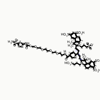 CC1(C)C(/C=C/C(=C/C=C2/N(CCCS(=O)(=O)O)c3ccc4c(S(=O)(=O)O)cc(S(=O)(=O)O)cc4c3C2(C)C)c2ccc(C(=O)NCCOCCOCCOCCOCCC(=O)Nc3nnc(S(N)(=O)=O)s3)cn2)=[N+](CCCS(=O)(=O)[O-])c2ccc3c(S(=O)(=O)O)cc(S(=O)(=O)O)cc3c21